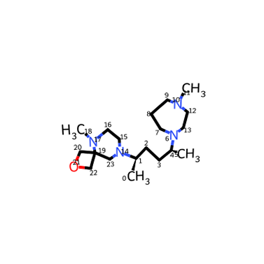 C[C@H](CC[C@H](C)N1CCCN(C)CC1)N1CCN(C)C2(COC2)C1